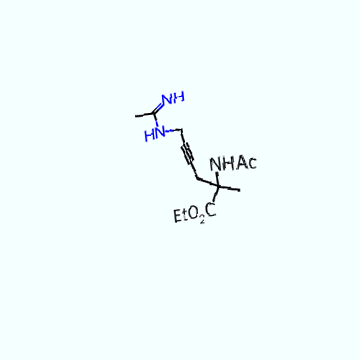 CCOC(=O)C(C)(CC#CCNC(C)=N)NC(C)=O